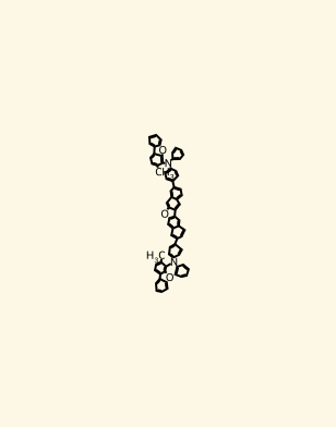 Cc1ccc2c(oc3ccccc32)c1N(c1ccccc1)c1ccc(-c2ccc3cc4c(cc3c2)oc2cc3cc(-c5ccc(N(c6ccccc6)c6c(C)ccc7c6oc6ccccc67)cc5)ccc3cc24)cc1